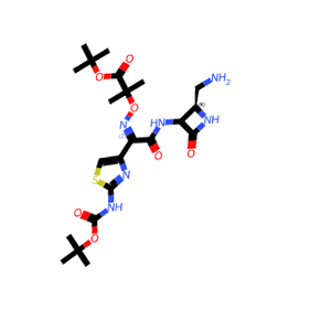 CC(C)(C)OC(=O)Nc1nc(/C(=N/OC(C)(C)C(=O)OC(C)(C)C)C(=O)NC2C(=O)N[C@@H]2CN)cs1